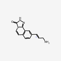 NC/C=C/c1ccc2ccn3c(=O)[nH]nc3c2c1